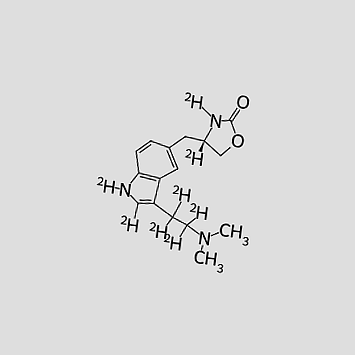 [2H]c1c(C([2H])([2H])C([2H])([2H])N(C)C)c2cc(C[C@@]3([2H])COC(=O)N3[2H])ccc2n1[2H]